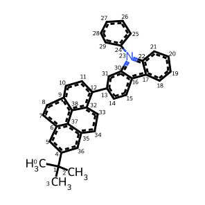 CC(C)(C)c1cc2ccc3ccc(-c4ccc5c6ccccc6n(-c6ccccc6)c5c4)c4ccc(c1)c2c34